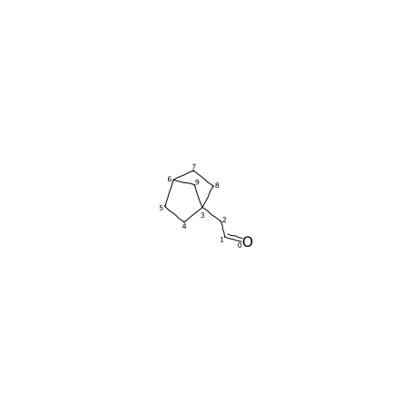 O=CCC12CCC(CC1)C2